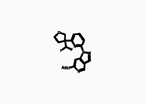 CC(=O)Nc1cc2c(cn1)cnn2-c1cccc(C2(C(F)F)CCOC2)n1